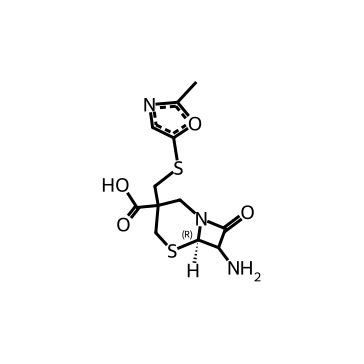 Cc1ncc(SCC2(C(=O)O)CS[C@@H]3C(N)C(=O)N3C2)o1